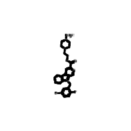 CCOC(=O)N1CCN(CCOC(=O)c2cc3c4ccccc4n(Cc4cc(Cl)ccc4Cl)c3cn2)CC1